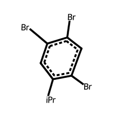 CC(C)c1cc(Br)c(Br)cc1Br